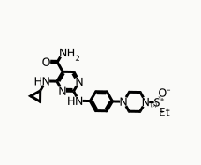 CC[S@@+]([O-])N1CCN(c2ccc(Nc3ncc(C(N)=O)c(NC4CC4)n3)cc2)CC1